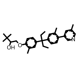 CCC(CC)(c1ccc(OCC(O)C(C)(C)C)c(C)c1)c1ccc(-c2cncc(C)c2)c(C)c1